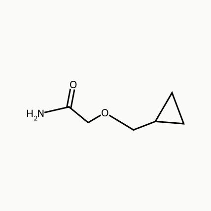 NC(=O)COCC1CC1